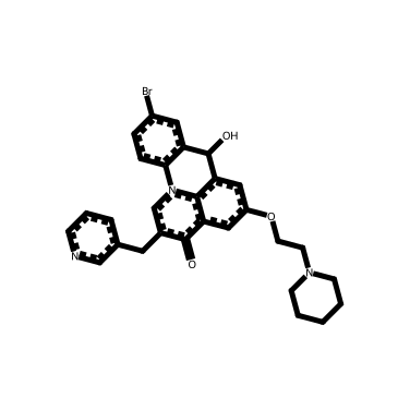 O=c1c(Cc2cccnc2)cn2c3c(cc(OCCN4CCCCC4)cc13)C(O)c1cc(Br)ccc1-2